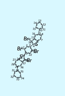 Brc1cc(-c2sc3ccc(-c4ccccc4)cc3c2Br)c(Br)cc1-c1sc2ccc(-c3ccccc3)cc2c1Br